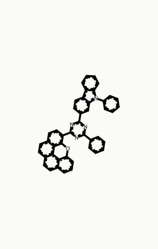 c1ccc(-c2nc(-c3ccc4c5ccccc5n(-c5ccccc5)c4c3)nc(-c3ccc4ccc5ccc6cccc7c6c5c4c3O7)n2)cc1